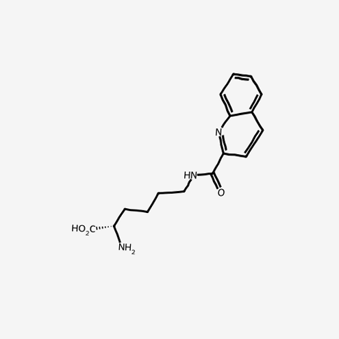 N[C@@H](CCCCNC(=O)c1ccc2ccccc2n1)C(=O)O